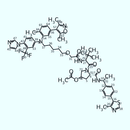 CC(=O)O[C@@H]1C[C@@H](C(=O)N[C@@H](C)c2ccc(-c3scnc3C)cc2)N(C(=O)[C@@H](NC(=O)COCCCCCN(c2ccc(-n3ccnc3)c(C(F)(F)F)c2)c2cc(-c3c(C)noc3C)ccc2C)C(C)(C)C)C1